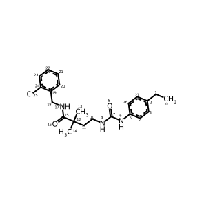 CCc1ccc(NC(=O)NCCC(C)(C)C(=O)NCc2ccccc2Cl)cc1